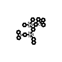 c1ccc(-c2nc(-c3ccccc3)nc(-c3cc(-c4nc(-c5ccc(-n6c7ccccc7c7ccccc76)cc5)nc(-c5ccc6ccccc6c5)n4)ccc3-c3ccc4c(c3)OC(c3ccccc3)(c3ccccc3)c3ccccc3-4)n2)cc1